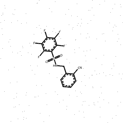 N#Cc1ccccc1CNS(=O)(=O)c1c(F)c(F)c(F)c(F)c1F